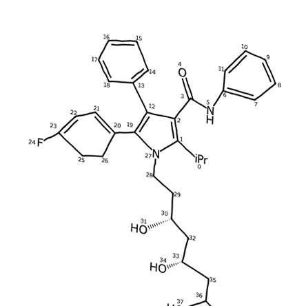 CC(C)c1c(C(=O)Nc2ccccc2)c(-c2ccccc2)c(C2=CC=C(F)CC2)n1CC[C@@H](O)C[C@@H](O)CC(O)N=O